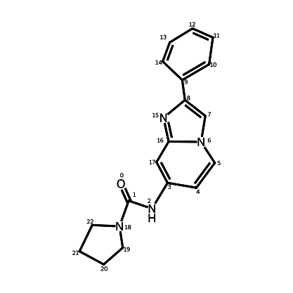 O=C(Nc1ccn2cc(-c3ccccc3)nc2c1)N1CCCC1